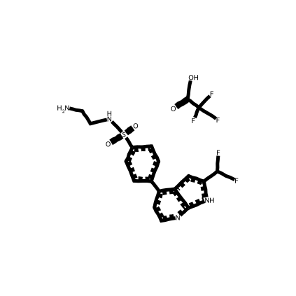 NCCNS(=O)(=O)c1ccc(-c2ccnc3[nH]c(C(F)F)cc23)cc1.O=C(O)C(F)(F)F